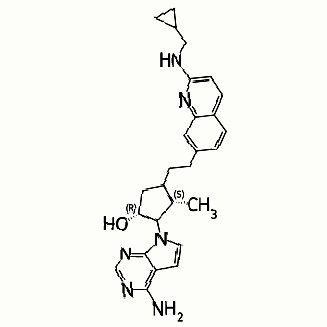 C[C@H]1C(CCc2ccc3ccc(NCC4CC4)nc3c2)C[C@@H](O)C1n1ccc2c(N)ncnc21